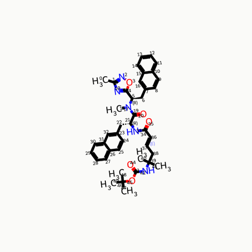 Cc1noc([C@@H](Cc2ccc3ccccc3c2)N(C)C(=O)[C@@H](Cc2ccc3ccccc3c2)NC(=O)/C=C/CC(C)(C)NC(=O)OC(C)(C)C)n1